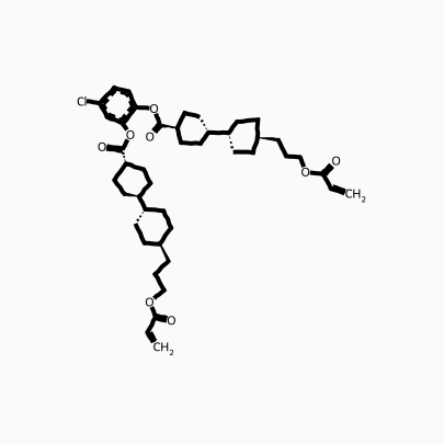 C=CC(=O)OCCC[C@H]1CC[C@H]([C@H]2CC[C@H](C(=O)Oc3ccc(Cl)cc3OC(=O)[C@H]3CC[C@H]([C@H]4CC[C@H](CCCOC(=O)C=C)CC4)CC3)CC2)CC1